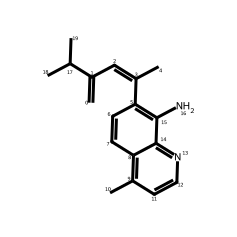 C=C(/C=C(/C)c1ccc2c(C)ccnc2c1N)C(C)C